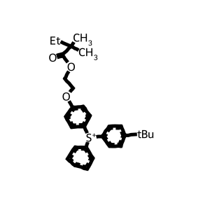 CCC(C)(C)C(=O)OCCOc1ccc([S+](c2ccccc2)c2ccc(C(C)(C)C)cc2)cc1